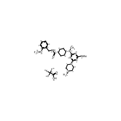 CNc1nc(N2CCN(C)CC2)nc(N(C)[C@H]2CC[C@@H](C(=O)NCc3ccccc3OC(F)(F)F)CC2)n1.O=C(O)C(F)(F)F